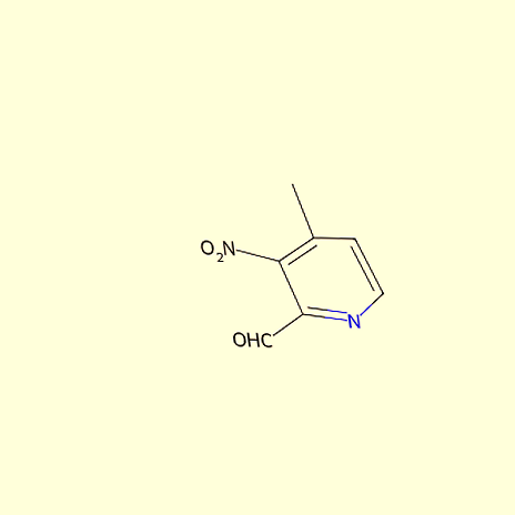 Cc1ccnc(C=O)c1[N+](=O)[O-]